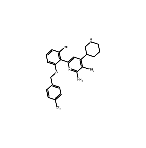 Nc1nc(-c2c(O)cccc2OCc2ccc(C(F)(F)F)cc2)cc(C2CCCNC2)c1N